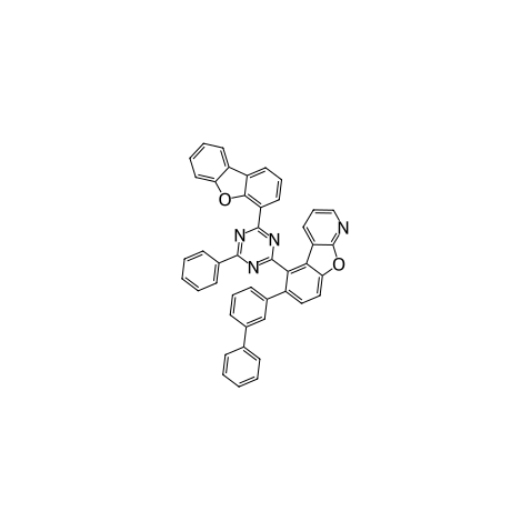 c1ccc(-c2cccc(-c3ccc4oc5ncccc5c4c3-c3nc(-c4ccccc4)nc(-c4cccc5c4oc4ccccc45)n3)c2)cc1